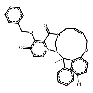 C[C@@]1(c2ccccc2)c2cc(Cl)ccc2OC/C=C\CN2CN1n1ccc(=O)c(OCc3ccccc3)c1C2=O